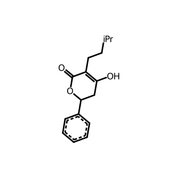 CC(C)CCC1=C(O)CC(c2ccccc2)OC1=O